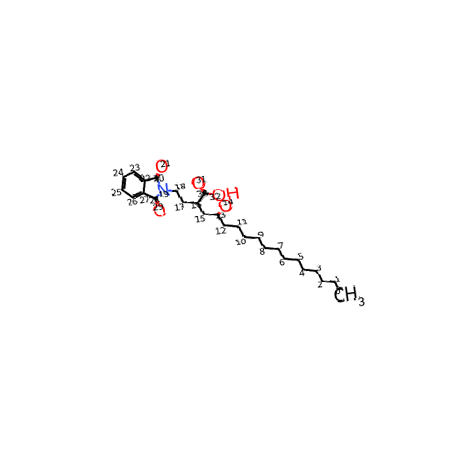 CCCCCCCCCCCCCC(=O)CC(CCN1C(=O)c2ccccc2C1=O)C(=O)O